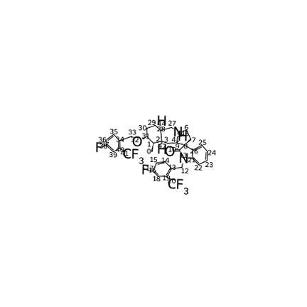 C[C@@H]1[C@H]2C[C@@H]3N(CC[C@@]34C(=O)N(Cc3ccc(F)cc3C(F)(F)F)c3ccccc34)C[C@@H]2CC[C@@H]1OCc1ccc(F)cc1C(F)(F)F